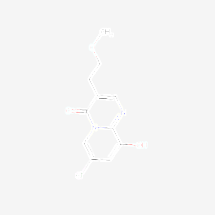 COCCc1cnc2c(O)cc(Cl)cn2c1=O